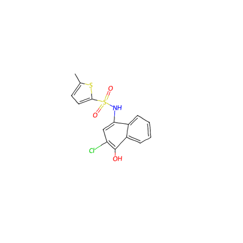 Cc1ccc(S(=O)(=O)Nc2cc(Cl)c(O)c3ccccc23)s1